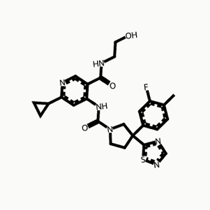 Cc1ccc(C2(c3ncns3)CCN(C(=O)Nc3cc(C4CC4)ncc3C(=O)NCCO)C2)cc1F